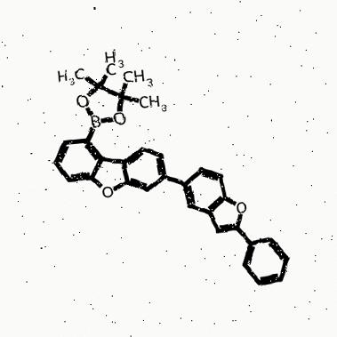 CC1(C)OB(c2cccc3oc4cc(-c5ccc6oc(-c7ccccc7)cc6c5)ccc4c23)OC1(C)C